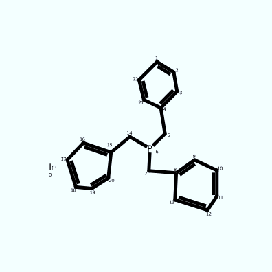 [Ir].c1ccc(CP(Cc2ccccc2)Cc2ccccc2)cc1